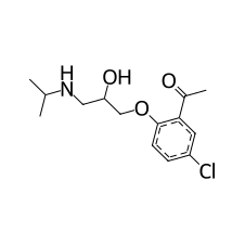 CC(=O)c1cc(Cl)ccc1OCC(O)CNC(C)C